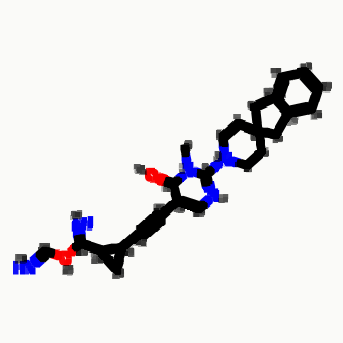 Cn1c(N2CCC3(CC2)Cc2ccccc2C3)ncc(C#CC2CC2C(=N)OC=N)c1=O